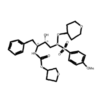 COc1ccc(S(=O)(=O)N(C[C@@H](O)[C@H](Cc2ccccc2)NC(=O)OC2CCOC2)OC2CCOCC2)cc1